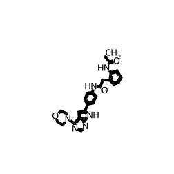 C=CC(=O)Nc1ccccc1CC(=O)Nc1ccc(-c2cc3c(N4CCOCC4)ncnc3[nH]2)cc1